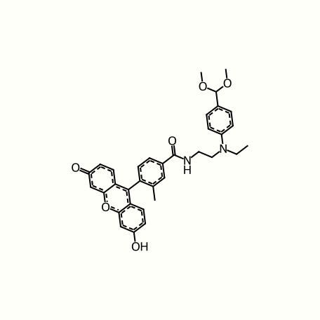 CCN(CCNC(=O)c1ccc(-c2c3ccc(=O)cc-3oc3cc(O)ccc23)c(C)c1)c1ccc(C(OC)OC)cc1